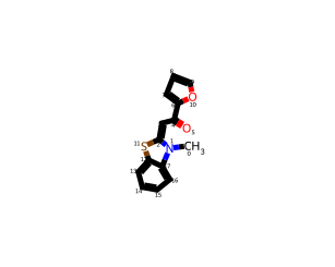 CN1/C(=C\C(=O)c2ccco2)Sc2ccccc21